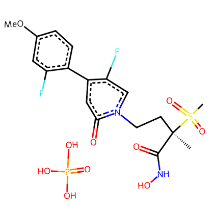 COc1ccc(-c2cc(=O)n(CC[C@](C)(C(=O)NO)S(C)(=O)=O)cc2F)c(F)c1.O=P(O)(O)O